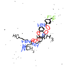 C#CCCCNC(=O)[C@H](CCC1(C)N=N1)NC(=O)C[C@@H]1CC[C@H]2[C@H](COc3ccc(NC(=O)c4ccc(C(F)(F)F)cc4)cc3C(=O)N2C)O1